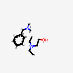 CCN(CC)CCO.CN(C)Cc1ccccc1